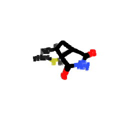 CCCCCCS[C@@]12C(=O)NC(=O)C1C[C@@H]2C#N